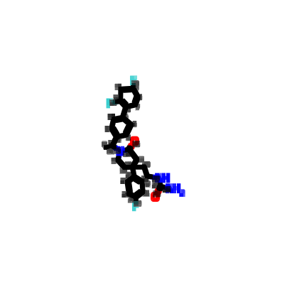 C[C@@H](c1ccc(-c2ccc(F)cc2F)cc1)N1CCC(CCNC(N)=O)(c2ccc(F)cc2)CC1=O